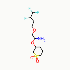 NC(COCCC(F)C(F)F)OC1CCCS(=O)(=O)C1